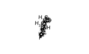 Cc1sc2c(c1CC(=O)Nc1nc(-c3ccc(F)cc3F)cs1)COCN2C